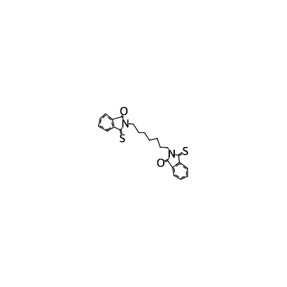 O=C1c2ccccc2C(=S)N1CCCCCCCN1C(=O)c2ccccc2C1=S